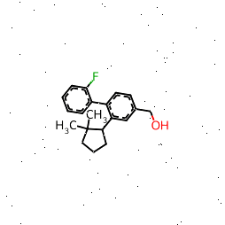 CC1(C)CCCC1c1cc(CO)ccc1-c1ccccc1F